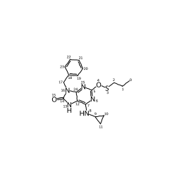 CCCSOc1nc(NC2CC2)c2[nH]c(=O)n(Cc3ccccc3)c2n1